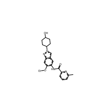 CCOc1cc2nn(C3CCC(O)CC3)cc2cc1NC(=O)c1cccc(C)n1